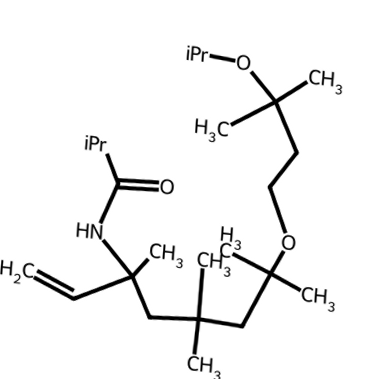 C=CC(C)(CC(C)(C)CC(C)(C)OCCC(C)(C)OC(C)C)NC(=O)C(C)C